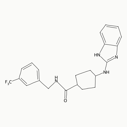 O=C(NCc1cccc(C(F)(F)F)c1)C1CCC(Nc2nc3ccccc3[nH]2)CC1